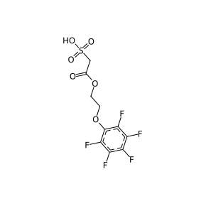 O=C(CS(=O)(=O)O)OCCOc1c(F)c(F)c(F)c(F)c1F